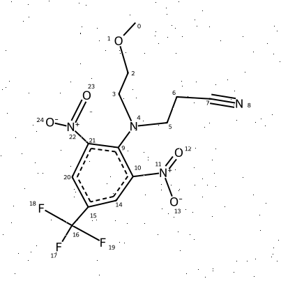 COCCN(CCC#N)c1c([N+](=O)[O-])cc(C(F)(F)F)cc1[N+](=O)[O-]